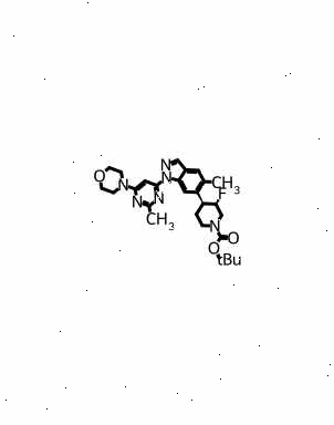 Cc1nc(N2CCOCC2)cc(-n2ncc3cc(C)c([C@@H]4CCN(C(=O)OC(C)(C)C)C[C@@H]4F)cc32)n1